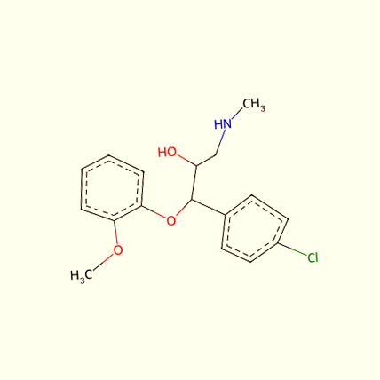 CNCC(O)C(Oc1ccccc1OC)c1ccc(Cl)cc1